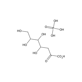 O=C(O)C(=O)CC(O)C(O)C(O)CO.O=P(O)(O)O